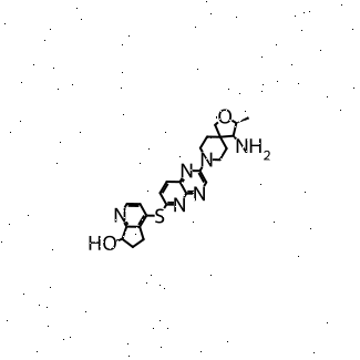 C[C@@H]1OCC2(CCN(c3cnc4nc(Sc5ccnc6c5CCC6O)ccc4n3)CC2)[C@@H]1N